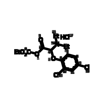 CCOC(=O)OC(=O)C(Oc1ccc(Cl)cc1Cl)N(CC)CC.Cl